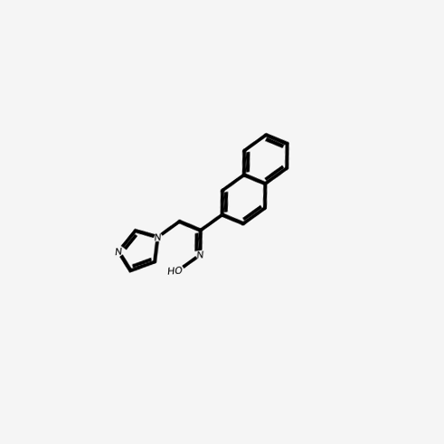 ON=C(Cn1ccnc1)c1ccc2ccccc2c1